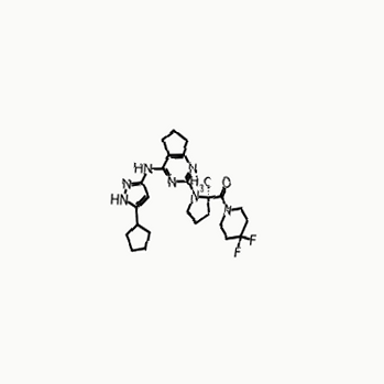 C[C@]1(C(=O)N2CCC(F)(F)CC2)CCCN1c1nc2c(c(Nc3cc(C4CCCC4)[nH]n3)n1)CCC2